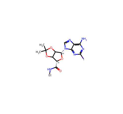 CCNC(=O)[C@H]1O[C@@H](n2cnc3c(N)nc(I)nc32)C2OC(C)(C)OC21